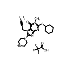 CC#CCn1c(N2CCNCC2)nc2nc(SC3CCCCC3)n(C)c(=O)c21.O=C(O)C(F)(F)F